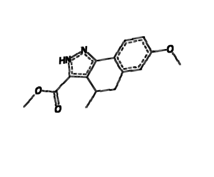 COC(=O)c1[nH]nc2c1C(C)Cc1cc(OC)ccc1-2